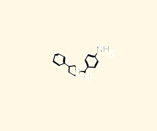 Nc1ccc(C(=O)N2CCC(c3ccccc3)C2)cc1